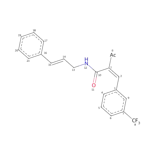 CC(=O)/C(=C/c1cccc(C(F)(F)F)c1)C(=O)NC/C=C/c1ccccc1